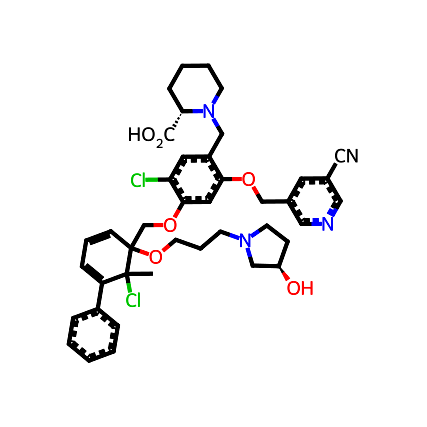 CC1(Cl)C(c2ccccc2)=CC=CC1(COc1cc(OCc2cncc(C#N)c2)c(CN2CCCC[C@H]2C(=O)O)cc1Cl)OCCCN1CC[C@@H](O)C1